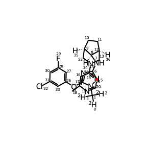 [2H]C([2H])([2H])n1nc(N[C@H]2[C@@H]3CC[C@H]2CN(c2cc(C)ncn2)C3)nc1Oc1cc(F)cc(Cl)c1